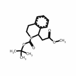 COC(=O)CC1c2ccccc2CCN1C(=O)OC(C)(C)C